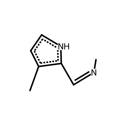 C/N=C\c1[nH]ccc1C